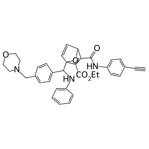 C#Cc1ccc(NC(=O)C2=C(C(=O)OCC)C3(C(Nc4ccccc4)c4ccc(CN5CCOCC5)cc4)C=CC2O3)cc1